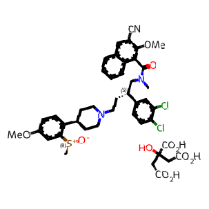 COc1ccc(C2CCN(CC[C@H](CN(C)C(=O)c3c(OC)c(C#N)cc4ccccc34)c3ccc(Cl)c(Cl)c3)CC2)c([S@+](C)[O-])c1.O=C(O)CC(O)(CC(=O)O)C(=O)O